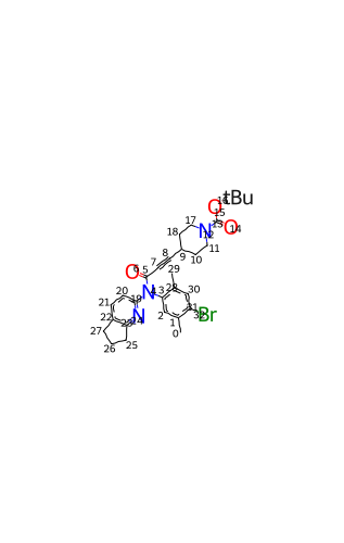 Cc1cc(N(C(=O)C#CC2CCN(C(=O)OC(C)(C)C)CC2)c2ccc3c(n2)CCC3)c(C)cc1Br